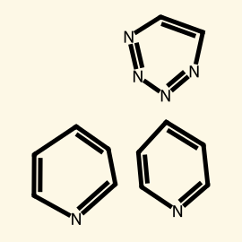 c1ccncc1.c1ccncc1.c1cnnnn1